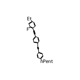 CCCCCc1ccc(C#Cc2ccc(C#Cc3ccc(CC)cc3F)cc2)cc1